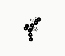 CC1(C)c2cc(C3=CC4C(C=C3)c3ccccc3C4(C)C)ccc2N(c2cccc3ccccc23)c2ccc(-c3ccc(-c4ccccc4)cc3)cc21